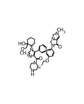 COC[C@]1(O)CCCC[C@H]1n1cnc(C(=O)N2CCNC[C@H]2CCOc2ccc(N3CN4CN(C)C=C4C3=O)cc2)c1-c1ccccc1